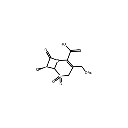 CC(=O)OCC1=C(C(O)=S)N2C(=O)[C@H](Cl)C2S(=O)(=O)C1